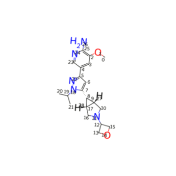 COc1cc(-c2cc([C@@H]3[C@@H]4CN(C5COC5)C[C@@H]43)n(C(C)C)n2)cnc1N